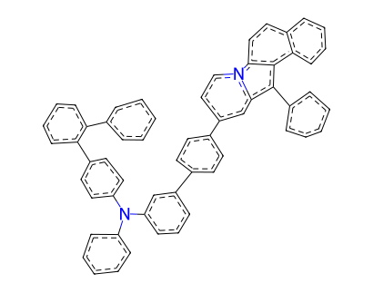 c1ccc(-c2ccccc2-c2ccc(N(c3ccccc3)c3cccc(-c4ccc(-c5ccn6c(c5)c(-c5ccccc5)c5c7ccccc7ccc56)cc4)c3)cc2)cc1